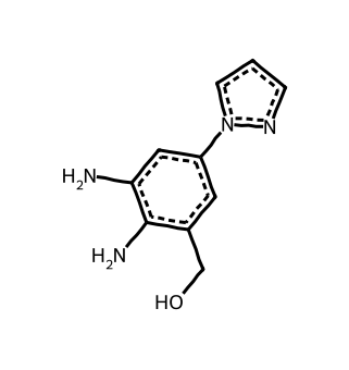 Nc1cc(-n2cccn2)cc(CO)c1N